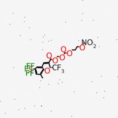 Cc1cc(S(F)(F)(F)(F)F)cc2c1O[C@H](C(F)(F)F)C(C(=O)OCOC(=O)OCCCO[N+](=O)[O-])=C2